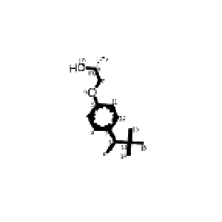 CC(c1ccc(OC[C@@H](C)O)cc1)C(C)(C)C